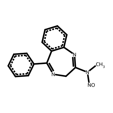 CN(N=O)C1=Nc2ccccc2C(c2ccccc2)=NC1